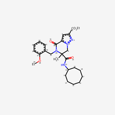 CCOC(=O)c1cc2n(n1)CC(C)(C(=O)NC1CCCCCCC1)N(Cc1ccccc1OCC)C2=O